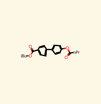 CCCC(=O)Oc1ccc(-c2ccc(C(=O)OC(C)CC)cc2)cc1